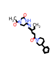 C=CC(/C=C/C(=O)N1CCC=C(c2ccccc2)CC1)=C\N=C1/CCN(C(C)=O)CC(=O)N1